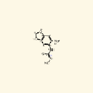 N#C/N=C(\[S-])Nc1ccc2c(c1)OCO2.[Na+]